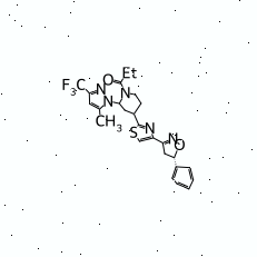 CCC(=O)N1CCC(c2nc(C3=NO[C@H](c4ccccc4)C3)cs2)CC1n1nc(C(F)(F)F)cc1C